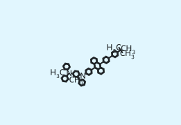 Cc1cccc(C)c1N(c1ccccc1)c1ccc2c(c1)c1ccccc1n2-c1ccc(-c2c3ccccc3c(-c3ccc(-c4ccc(C(C)(C)C)cc4)cc3)c3ccccc23)cc1